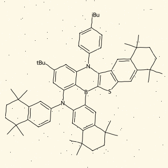 CCC(C)c1ccc(N2c3cc(C(C)(C)C)cc4c3B(c3cc5c(cc3N4c3ccc4c(c3)C(C)(C)CCC4(C)C)C(C)(C)CCC5(C)C)c3sc4cc5c(cc4c32)C(C)(C)CCC5(C)C)cc1